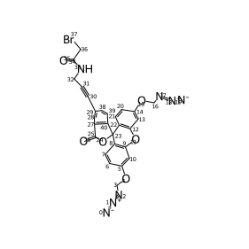 [N-]=[N+]=NCOc1ccc2c(c1)Oc1cc(OCN=[N+]=[N-])ccc1C21OC(=O)c2cc(C#CCNC(=O)CBr)ccc21